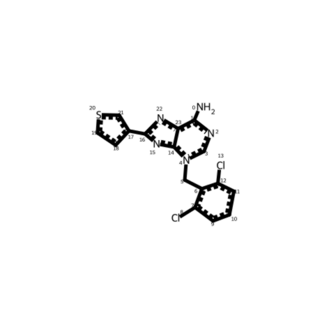 Nc1ncn(Cc2c(Cl)cccc2Cl)c2nc(-c3ccsc3)nc1-2